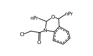 CCCC1OC(CCC)N(C(=O)CCl)c2ccccc21